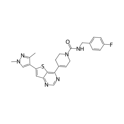 Cc1nn(C)cc1-c1cc2ncnc(C3=CCN(C(=O)NCc4ccc(F)cc4)CC3)c2s1